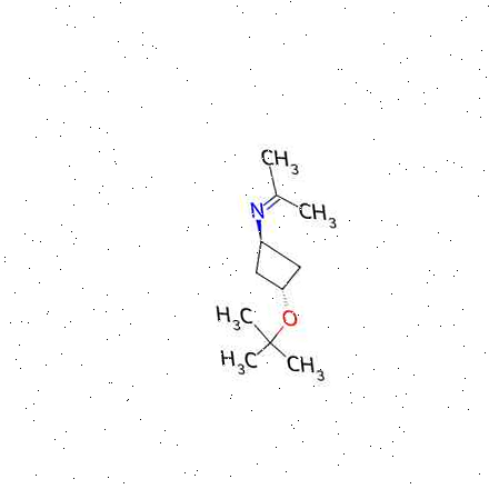 CC(C)=N[C@H]1C[C@H](OC(C)(C)C)C1